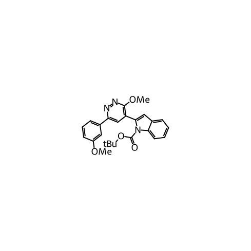 COc1cccc(-c2cc(-c3cc4ccccc4n3C(=O)OC(C)(C)C)c(OC)nn2)c1